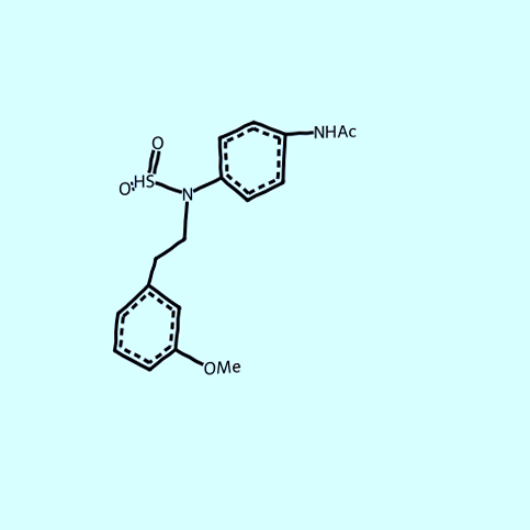 COc1cccc(CCN(c2ccc(NC(C)=O)cc2)[SH](=O)=O)c1